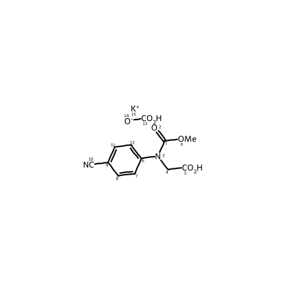 COC(=O)N(CC(=O)O)c1ccc(C#N)cc1.O=C([O-])O.[K+]